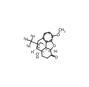 [2H]C([2H])([2H])N1CC[C@]23c4c5ccc(OC)c4O[C@H]2C(=O)CC[C@@]3(O)[C@H]1C5